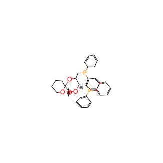 c1ccc(P(CC2OC3(CCCCO3)[C@]3(CCCCO3)O[C@H]2CP(c2ccccc2)c2ccccc2)c2ccccc2)cc1